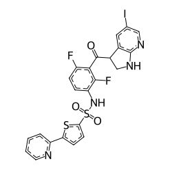 O=C(c1c(F)ccc(NS(=O)(=O)c2ccc(-c3ccccn3)s2)c1F)C1CNc2ncc(I)cc21